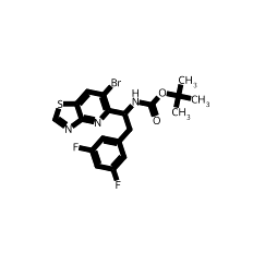 CC(C)(C)OC(=O)NC(Cc1cc(F)cc(F)c1)c1nc2ncsc2cc1Br